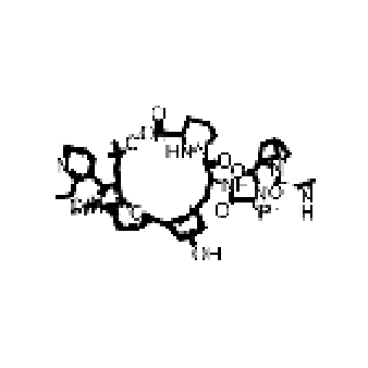 CCn1c(-c2cccnc2[C@H](C)OC)c2c3cc(ccc31)-c1cc(O)cc(c1)C[C@H](NC(=O)[C@H](C(C)C)N(C)C(=O)C13CC(CN1C(=O)[C@@H]1CN1)C3)C(=O)N1CCC[C@H](N1)C(=O)OCC(C)(C)C2